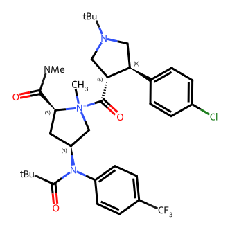 CNC(=O)[C@@H]1C[C@H](N(C(=O)C(C)(C)C)c2ccc(C(F)(F)F)cc2)C[N+]1(C)C(=O)[C@@H]1CN(C(C)(C)C)C[C@H]1c1ccc(Cl)cc1